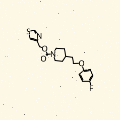 O=C(OCc1cscn1)N1CCC(CCOc2ccc(F)cc2)CC1